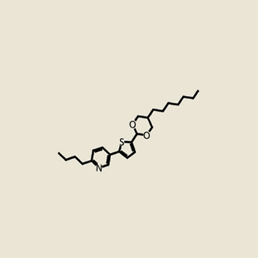 CCCCCCCC1COC(c2ccc(-c3ccc(CCCC)nc3)s2)OC1